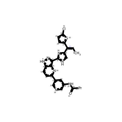 C/C=C(\c1c[nH]c(-c2n[nH]c3ccc(-c4cncc(NC(=O)C(C)C)c4)nc23)n1)c1ccc(Cl)s1